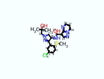 CSc1ccc(Cl)cc1C1=NN(CC(C)(C)O)CC1NC(O)c1cnn2cccnc12